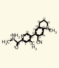 Cc1cc(C(=O)N(C)N)ncc1-c1cc2c(cc1C#N)N(C)CCC2